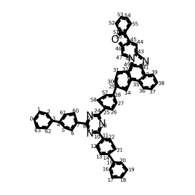 c1ccc(-c2ccc(-c3nc(-c4ccc(-c5ccccc5)cc4)nc(-c4ccc(-c5ccc6c(c5)c5ccccc5c5nc7cc8c(cn7c65)oc5ccccc58)cc4)n3)cc2)cc1